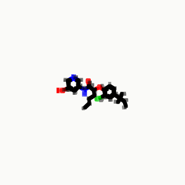 CCCCC(Oc1ccc(C(C)(C)CC)cc1Cl)C(=O)Nc1cncc(O)c1